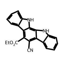 CCOC(=O)c1c(C#N)c2c3ccccc3[nH]c2c2[nH]c3ccccc3c12